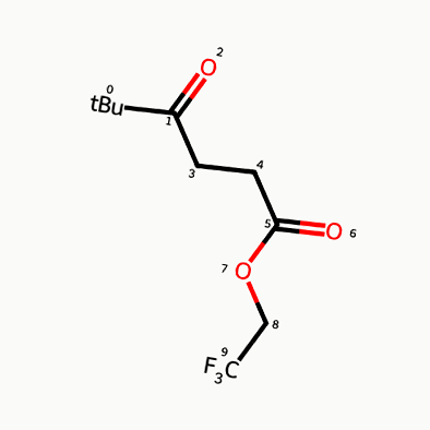 CC(C)(C)C(=O)CCC(=O)OCC(F)(F)F